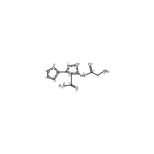 CC(C)(C)CC(=O)Nc1onc(-c2cccs2)c1C(N)=O